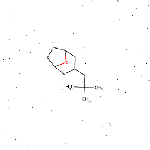 CC(C)(C)CC1CC2CCC(C1)O2